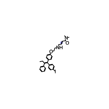 CCC(=C(c1ccc(I)cc1)c1ccc(OCCNC/C=C/C(=O)N(C)C)cc1)c1ccccc1